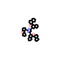 c1ccc2c(c1)ccc1oc3c(-c4cc(-c5cc6ccccc6c6c5oc5ccc7ccccc7c56)nc(-c5cccc6oc7ccccc7c56)n4)cc4ccccc4c3c12